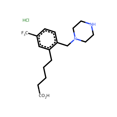 Cl.O=C(O)CCCCc1cc(C(F)(F)F)ccc1CN1CCNCC1